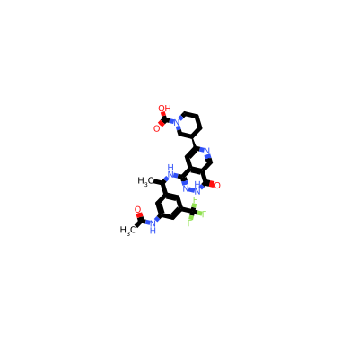 CC(=O)Nc1cc(C(C)Nc2n[nH]c(=O)c3cnc([C@@H]4CCCN(C(=O)O)C4)cc23)cc(C(F)(F)F)c1